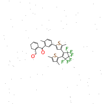 Cc1cc(C)c(C2=C(c3cc(-c4ccc(C)c(C(=O)C5=C(C=O)CCC=C5)c4)sc3C)C(F)(F)C(F)(F)C2(F)F)s1